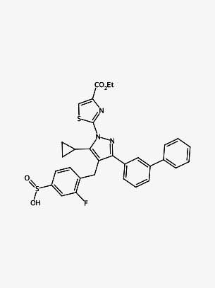 CCOC(=O)c1csc(-n2nc(-c3cccc(-c4ccccc4)c3)c(Cc3ccc(S(=O)O)cc3F)c2C2CC2)n1